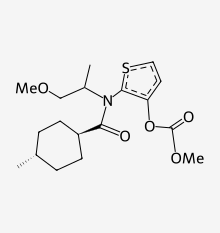 COCC(C)N(c1sccc1OC(=O)OC)C(=O)[C@H]1CC[C@H](C)CC1